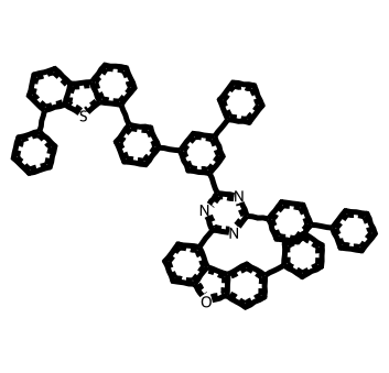 c1ccc(-c2ccc(-c3nc(-c4cc(-c5ccccc5)cc(-c5cccc(-c6cccc7c6sc6c(-c8ccccc8)cccc67)c5)c4)nc(-c4cccc5oc6ccc(-c7ccccc7)cc6c45)n3)cc2)cc1